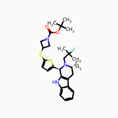 C[C@@H]1Cc2c([nH]c3ccccc23)[C@@H](c2ccc(SC3CN(C(=O)OC(C)(C)C)C3)s2)N1CC(C)(C)F